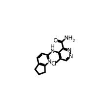 NC(=O)c1nncc(Cl)c1Nc1ccc2c(n1)CCC2